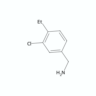 CCc1ccc(CN)cc1Cl